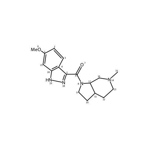 COc1ccc2c(C(=O)N3CCC4CCN(C)CC43)n[nH]c2c1